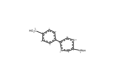 CCCCCCCCCc1cnc(-c2ccc(C(=O)O)cc2)cn1